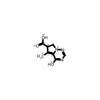 CC1=C2C(O)=NC=NN2CC1C(=O)O